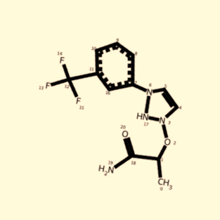 CC(ON1C=CN(c2cccc(C(F)(F)F)c2)N1)C(N)=O